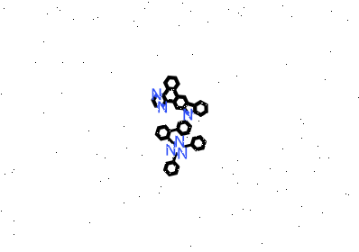 c1ccc(-c2nc(-c3ccccc3)nc(-c3ccccc3-c3cccc(-n4c5ccccc5c5cc6c7ccccc7c7nccnc7c6cc54)c3)n2)cc1